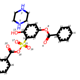 C1CNCCN1.O=C(Oc1ccc(O)c(S(=O)(=O)OC(=O)c2ccccc2)c1)c1ccccc1